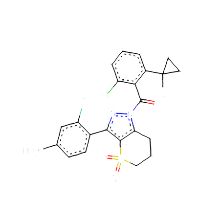 O=C(O)c1ccc(-c2nn(C(=O)c3c(Cl)cccc3C3(C(F)(F)F)CC3)c3c2S(=O)(=O)CCC3)c(F)c1